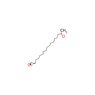 CC(=O)CCCCCCCCCCCCCC=C=O